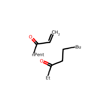 C=CC(=O)CCCCC.CCC(=O)CCC(C)CC